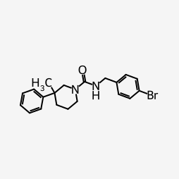 CC1(c2ccccc2)CCCN(C(=O)NCc2ccc(Br)cc2)C1